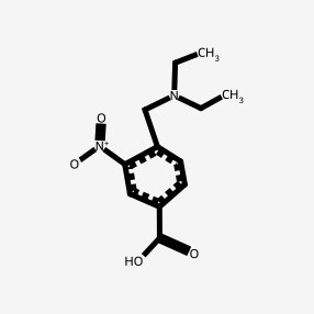 CCN(CC)Cc1ccc(C(=O)O)cc1[N+](=O)[O-]